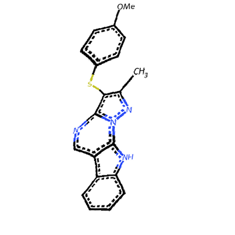 COc1ccc(Sc2c(C)nn3c2ncc2c4ccccc4[nH]c23)cc1